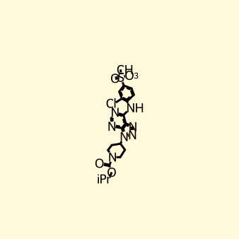 CC(C)OC(=O)N1CCC(n2nnc3c(Nc4ccc(S(C)(=O)=O)cc4Cl)ncnc32)CC1